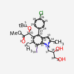 COC(=O)[C@@H](OC(C)(C)C)c1c(C)c(I)c2c(cc(C)n2CC(O)CO)c1-c1ccc(Cl)cc1